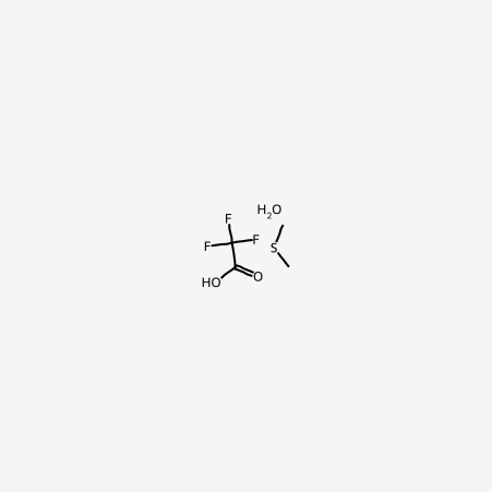 CSC.O.O=C(O)C(F)(F)F